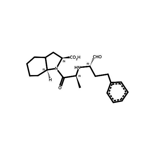 C[C@H](N[C@H](C=O)CCc1ccccc1)C(=O)N1[C@H](C(=O)O)CC2CCCC[C@@H]21